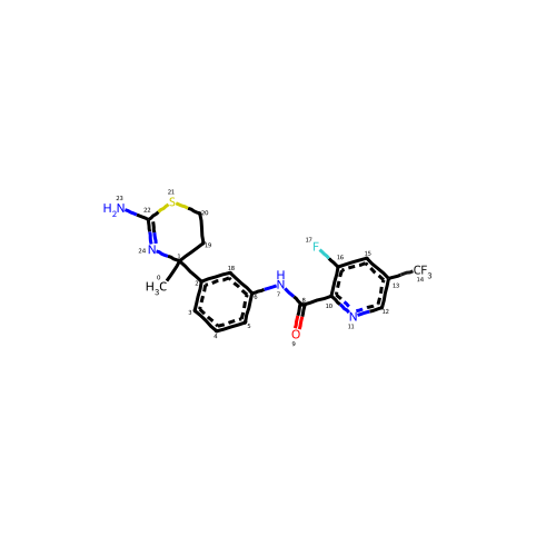 CC1(c2cccc(NC(=O)c3ncc(C(F)(F)F)cc3F)c2)CCSC(N)=N1